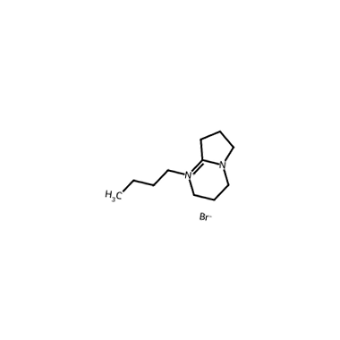 CCCC[N+]1=C2CCCN2CCC1.[Br-]